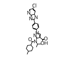 CC1CCC(C(=O)N(c2nn(-c3ccc(C4=NC5C=C(Cl)C=NC5=N4)cc3)cc2C(=O)O)C(C)C)CC1